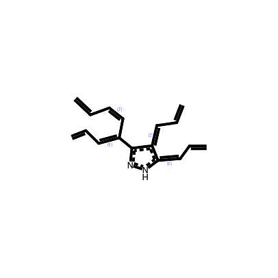 C=C/C=C\C(=C/C=C)c1n[nH]c(=C/C=C)/c1=C\C=C